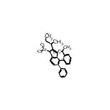 CCC(C)C1=Cc2c(ccc(-c3ccccc3)c2-c2ccccc2C(C)C)[CH]1[Zr]([Cl])[Cl]